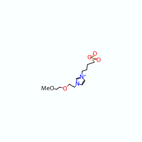 COCCOCCn1cc[n+](CCCCS(=O)(=O)[O-])c1